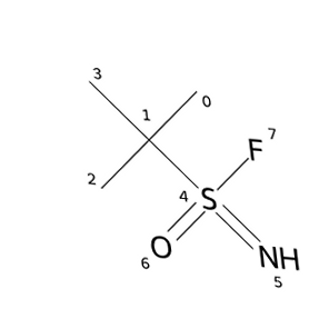 CC(C)(C)S(=N)(=O)F